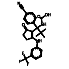 CC(C)(C)C(NC(=O)O)(C1=C(Nc2cccc(C(F)(F)F)c2)CCC1=O)c1ccc(C#N)cc1